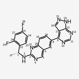 C[C@@H](Nc1ncc2cc(-c3ncnc4[nH]ncc34)ccc2n1)c1ccc(F)cc1F